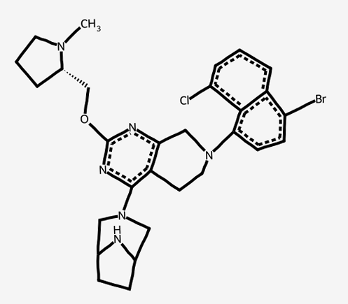 CN1CCC[C@H]1COc1nc2c(c(N3CC4CCC(C3)N4)n1)CCN(c1ccc(Br)c3cccc(Cl)c13)C2